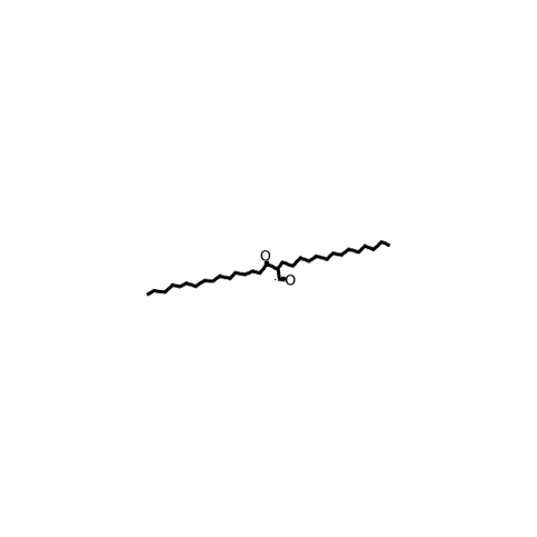 CCCCCCCCCCCCCCCC(=O)C([C]=O)CCCCCCCCCCCCCC